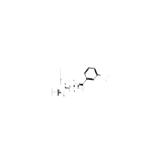 [H]/N=C(\N)NN=Cc1cccc([Se]C)c1